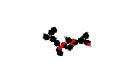 Cc1ccc(N(c2ccc(C)cc2)c2ccc(-c3ccc(N(c4ccc(C)cc4)c4ccc(C)c(Cc5cccc(N(c6ccc(-c7ccc(N(c8cccc(C)c8)c8ccc9ccccc9c8)cc7)cc6)c6ccc7ccccc7c6)c5)c4)c(C)c3)cc2C)cc1